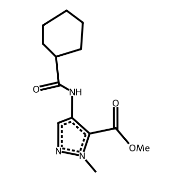 COC(=O)c1c(NC(=O)C2CCCCC2)cnn1C